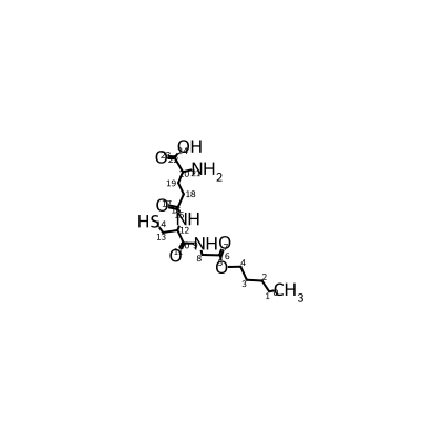 CCCCCOC(=O)CNC(=O)C(CS)NC(=O)CCC(N)C(=O)O